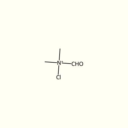 C[N+](C)(Cl)C=O